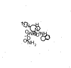 C[C@H](OC(N)=O)C(=O)N[C@H]1CC(N2CCN(C)CC2)CC[C@H]2CC[C@@H](C(=O)N[C@@H]3CCCc4ccccc43)N2C1=O